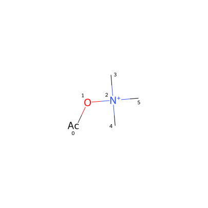 CC(=O)O[N+](C)(C)C